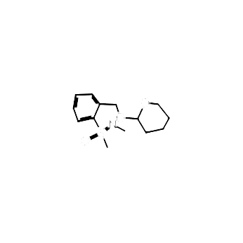 CN=S(C)(=O)c1ccccc1COC1CCCCO1